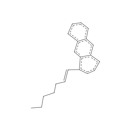 CCCCC/C=C/c1cccc2cc3ccccc3cc12